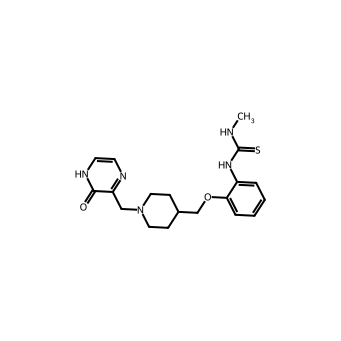 CNC(=S)Nc1ccccc1OCC1CCN(Cc2ncc[nH]c2=O)CC1